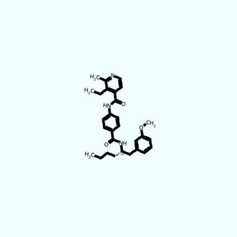 CCCC[C@@H](Cc1cccc(OC)c1)NC(=O)c1ccc(NC(=O)c2ccnc(C)c2CC)cc1